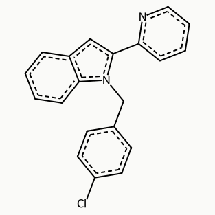 Clc1ccc(Cn2c(-c3ccccn3)cc3ccccc32)cc1